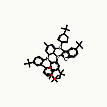 CC1=CC2(C)C3B(c4cc5c(cc4N2c2ccc(C(C)(C)C)cc2-c2ccc(C(C)(C)C)cc2)C(C)(C)CCC5(C)C)c2oc4ccc(C(C)(C)C)cc4c2N(C2=CCC(C(C)(C)C)C=C2)C3=C1